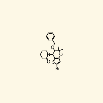 CC1(C)Oc2cc(Br)sc2C(N2CCCCC2=O)C1OCc1ccccc1